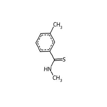 CNC(=S)c1cccc(C)c1